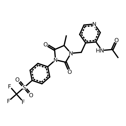 CC(=O)Nc1cnccc1CN1C(=O)N(c2ccc(S(=O)(=O)C(F)(F)F)cc2)C(=O)C1C